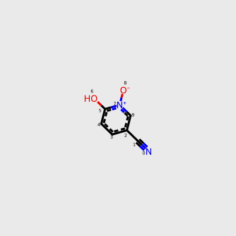 N#Cc1ccc(O)[n+]([O-])c1